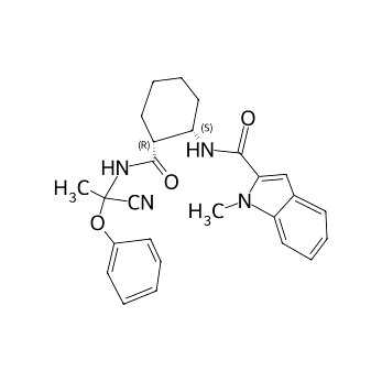 Cn1c(C(=O)N[C@H]2CCCC[C@H]2C(=O)NC(C)(C#N)Oc2ccccc2)cc2ccccc21